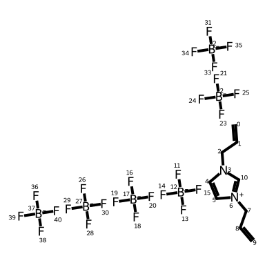 C=CCn1cc[n+](CC=C)c1.F[B-](F)(F)F.F[B-](F)(F)F.F[B-](F)(F)F.F[B-](F)(F)F.F[B-](F)(F)F.F[B-](F)(F)F